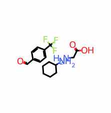 NC1CCCCC1.NCC(=O)O.O=Cc1ccc(C(F)(F)F)cc1